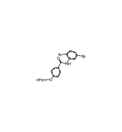 CCCCCOc1ccc(C(=O)Nc2cc(Br)ccc2C(C)=O)cc1